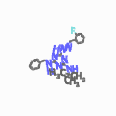 CC(C)(C)Nc1nc(NCc2ccccc2)nc(NN=Cc2ccccc2F)n1